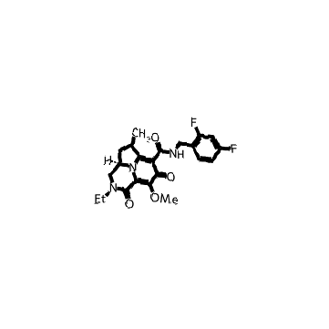 CCN1C[C@H]2CC(C)c3c(C(=O)NCc4ccc(F)cc4F)c(=O)c(OC)c(n32)C1=O